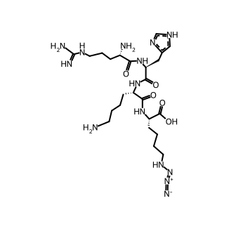 [N-]=[N+]=NNCCCC[C@H](NC(=O)[C@H](CCCCN)NC(=O)[C@H](Cc1c[nH]cn1)NC(=O)[C@@H](N)CCCNC(=N)N)C(=O)O